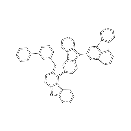 c1ccc(-c2cccc(-n3c4ccc5oc6ccccc6c5c4c4ccc5c(c6ccccc6n5-c5cc6c7c(cccc7c5)-c5ccccc5-6)c43)c2)cc1